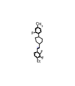 CCc1ccc(/C=C/C2CCC(c3ccc(C)cc3F)CC2)c(F)c1F